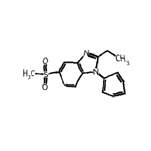 CCc1nc2cc(S(C)(=O)=O)ccc2n1-c1c[c]ccc1